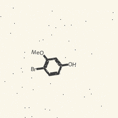 COc1cc(O)[c]cc1Br